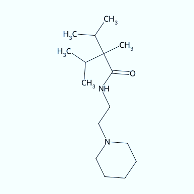 CC(C)C(C)(C(=O)NCCN1CCCCC1)C(C)C